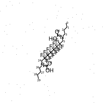 CCCCN(CC(F)(F)C(F)(F)C(F)(F)C(F)(F)C(F)(F)C(F)(F)CN(CCCC)C(=O)O)C(=O)O